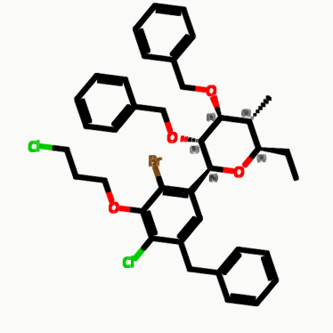 CC[C@H]1O[C@@H](c2cc(Cc3ccccc3)c(Cl)c(OCCCCl)c2Br)[C@H](OCc2ccccc2)[C@@H](OCc2ccccc2)[C@@H]1C